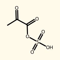 CC(=O)C(=O)OS(=O)(=O)O